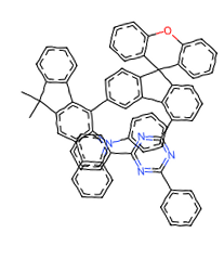 CC1(C)c2ccccc2-c2c1cc1c3ccccc3n(-c3ccccc3)c1c2-c1ccc2c(c1)-c1c(-c3nc(-c4ccccc4)nc(-c4ccccc4)n3)cccc1C21c2ccccc2Oc2ccccc21